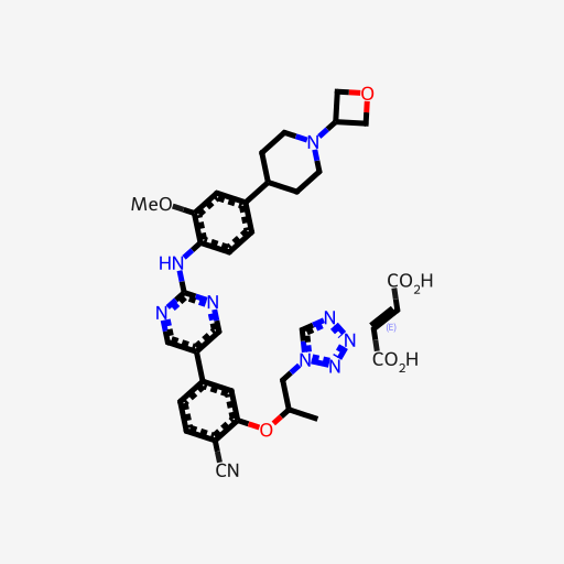 COc1cc(C2CCN(C3COC3)CC2)ccc1Nc1ncc(-c2ccc(C#N)c(OC(C)Cn3cnnn3)c2)cn1.O=C(O)/C=C/C(=O)O